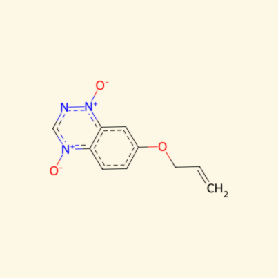 C=CCOc1ccc2c(c1)[n+]([O-])nc[n+]2[O-]